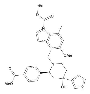 COC(=O)c1ccc([C@@H]2CC(O)(c3ccsc3)CCN2Cc2c(OC)cc(C)c3c2ccn3C(=O)OC(C)(C)C)cc1